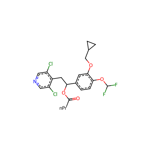 CCCC(=O)OC(Cc1c(Cl)cncc1Cl)c1ccc(OC(F)F)c(OCC2CC2)c1